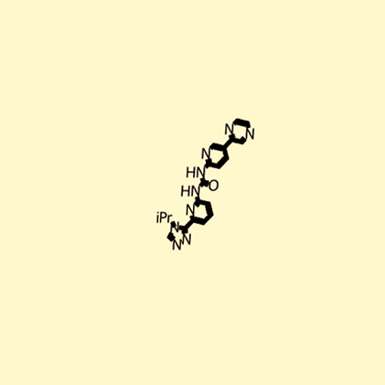 CC(C)n1cnnc1-c1cccc(NC(=O)Nc2ccc(-c3cnccn3)cn2)n1